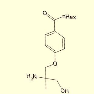 CCCCCCC(=O)c1ccc(OCC(C)(N)CO)cc1